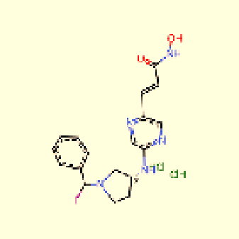 Cl.Cl.O=C(C=Cc1cnc(N[C@@H]2CCN(C(I)c3ccccc3)C2)cn1)NO